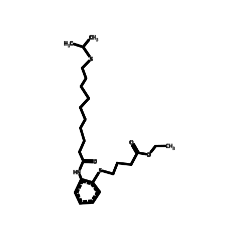 CCOC(=O)CCCSc1ccccc1NC(=O)CCCCCCCCCSC(C)C